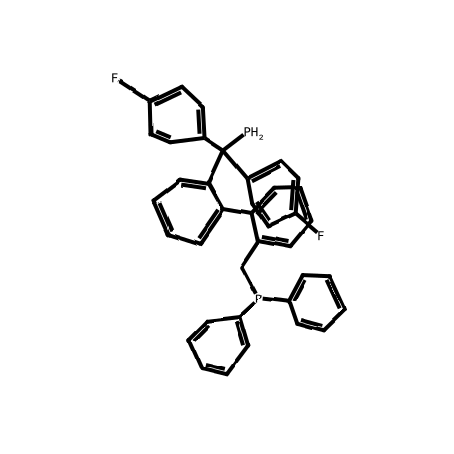 Fc1ccc(C(P)(c2ccc(F)cc2)c2ccccc2-c2ccccc2CP(c2ccccc2)c2ccccc2)cc1